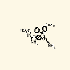 COc1ccc(C(OC(CCCN)OC)(c2ccccc2)c2ccccc2)cc1.NCC(=O)NCC(=O)O